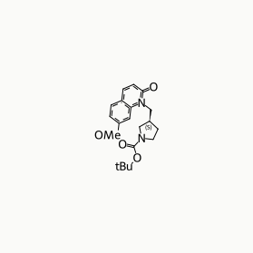 COc1ccc2ccc(=O)n(C[C@H]3CCN(C(=O)OC(C)(C)C)C3)c2c1